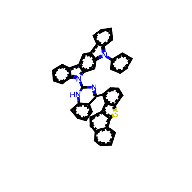 c1ccc(-n2c3ccccc3c3cc4c5ccccc5n(C5N=C(c6cccc7sc8c9ccccc9ccc8c67)c6ccccc6N5)c4cc32)cc1